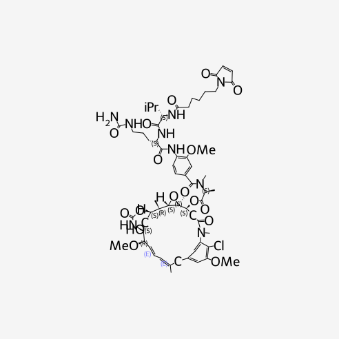 COc1cc(C(=O)N(C)[C@@H](C)C(=O)O[C@H]2CC(=O)N(C)c3cc(cc(OC)c3Cl)C/C(C)=C/C=C/[C@@H](OC)[C@@]3(O)C[C@H](OC(=O)N3)[C@@H](C)[C@@H]3O[C@@]23C)ccc1NC(=O)[C@H](CCCNC(N)=O)NC(=O)[C@@H](NC(=O)CCCCCN1C(=O)C=CC1=O)C(C)C